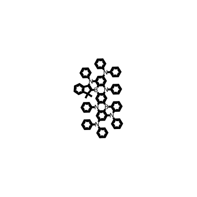 CC1(C)C2=C(c3ccccc31)N(c1ccccc1)c1cc(N(c3ccccc3)c3ccccc3)cc3c1B2c1cc2c(cc1N3c1ccccc1)B1c3ccccc3N(c3ccccc3)c3cc(N(c4ccccc4)c4ccccc4)cc(c31)N2c1ccccc1